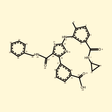 Cc1ccc(C(=O)NC2CC2)cc1Nc1nc(-c2cccc(C(=O)O)c2)c(C(=O)NCc2ccccc2)s1